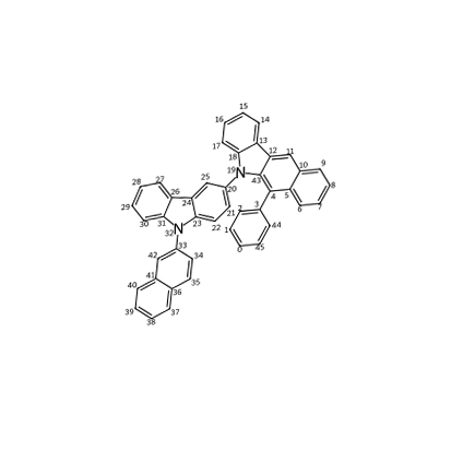 c1ccc(-c2c3ccccc3cc3c4ccccc4n(-c4ccc5c(c4)c4ccccc4n5-c4ccc5ccccc5c4)c23)cc1